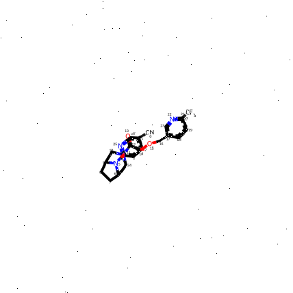 N#Cc1ccc(N2C3CCC2CN(C(=O)COCc2ccc(C(F)(F)F)nc2)C3)nc1